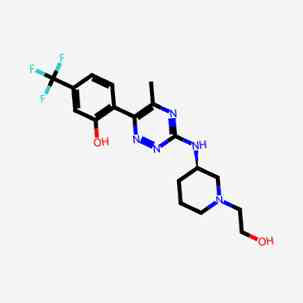 Cc1nc(N[C@@H]2CCCN(CCO)C2)nnc1-c1ccc(C(F)(F)F)cc1O